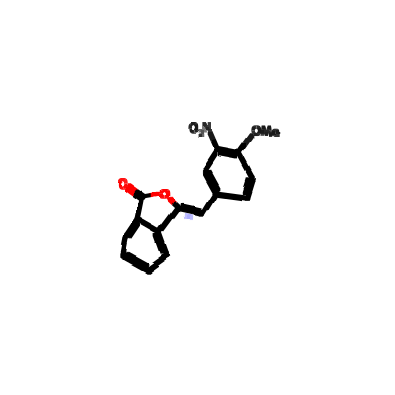 COc1ccc(/C=C2\OC(=O)c3ccccc32)cc1[N+](=O)[O-]